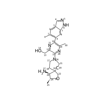 Cc1cc2cn[nH]c2cc1-c1nc(CO)c(N2CCC3(CC2)CO[C@@H](C)[C@H]3N)nc1C